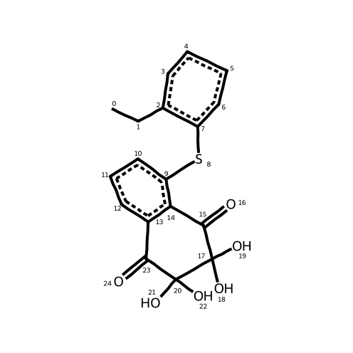 CCc1ccccc1Sc1cccc2c1C(=O)C(O)(O)C(O)(O)C2=O